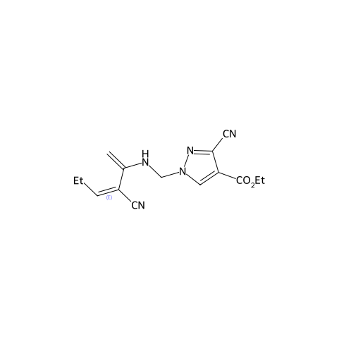 C=C(NCn1cc(C(=O)OCC)c(C#N)n1)/C(C#N)=C\CC